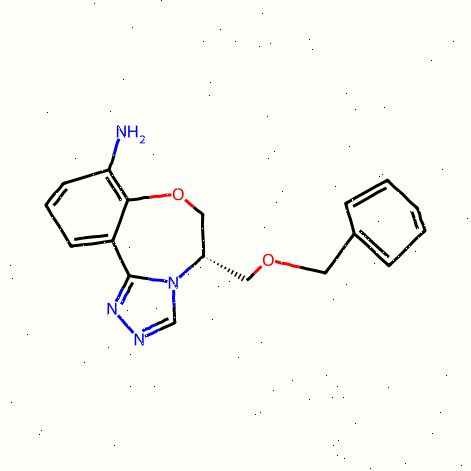 Nc1cccc2c1OC[C@H](COCc1ccccc1)n1cnnc1-2